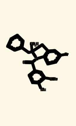 COc1cc(C(=O)N2c3ccc(Br)cc3CC2(Cc2ccccc2)C(=O)O)ccc1C(C)(C)C